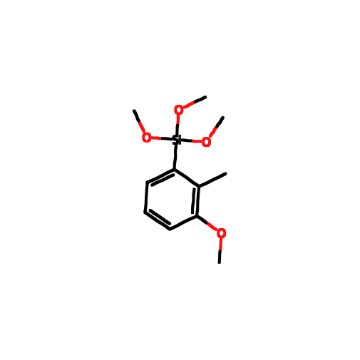 COc1cccc([Si](OC)(OC)OC)c1C